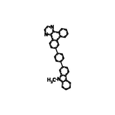 Cn1c2ccccc2c2ccc(-c3ccc(-c4ccc5c(c4)c4ccccc4c4nccnc54)cc3)cc21